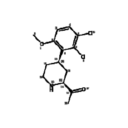 COc1ccc(Cl)c(Cl)c1[C@@H]1CCN[C@H](C(C)=O)C1